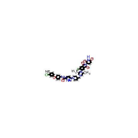 CC1CN(CC2CCN(c3ccc(C(=O)NC4CCC(Oc5ccc(C#N)c(Cl)c5)CC4)nn3)CC2)CC(C)N1c1cc2c(cc1F)C(=O)N(C1CCC(=O)NC1=O)C2=O